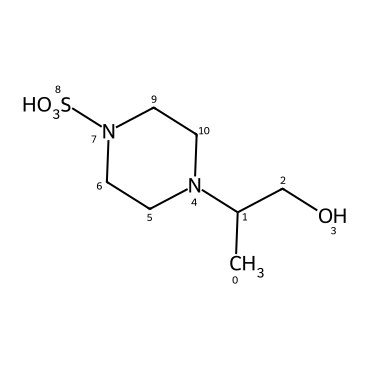 CC(CO)N1CCN(S(=O)(=O)O)CC1